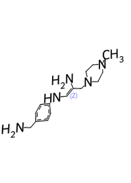 CN1CCN(C/C(N)=C/Nc2ccc(CN)cc2)CC1